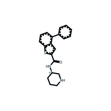 O=C(N[C@@H]1CCCNC1)c1cc2c(-c3ccccc3)cccc2s1